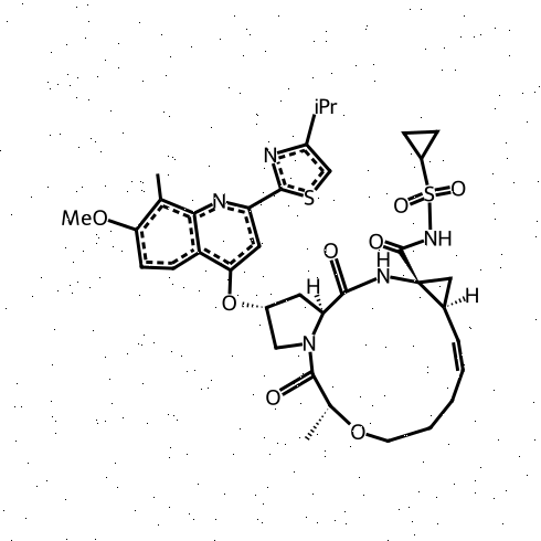 COc1ccc2c(O[C@@H]3C[C@H]4C(=O)N[C@]5(C(=O)NS(=O)(=O)C6CC6)C[C@H]5/C=C\CCCO[C@H](C)C(=O)N4C3)cc(-c3nc(C(C)C)cs3)nc2c1C